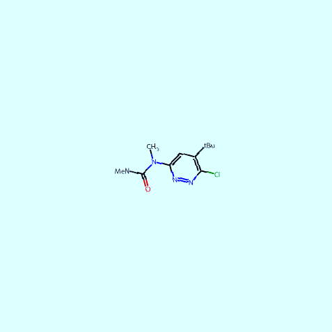 CNC(=O)N(C)c1cc(C(C)(C)C)c(Cl)nn1